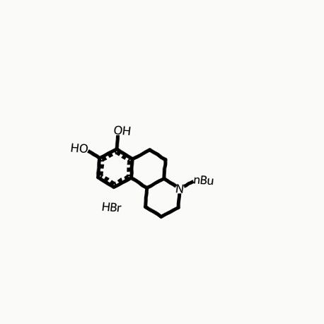 Br.CCCCN1CCCC2c3ccc(O)c(O)c3CCC21